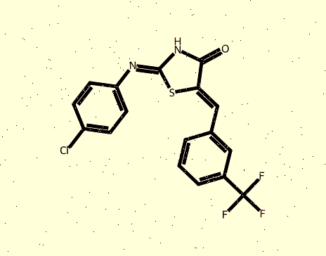 O=C1NC(=Nc2ccc(Cl)cc2)SC1=Cc1cccc(C(F)(F)F)c1